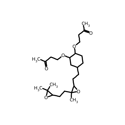 CC(=O)CCOC1CCC(CCC2OC2(C)CCC2OC2(C)C)CC1OCCC(C)=O